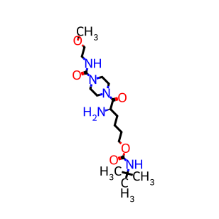 COCCNC(=O)N1CCN(C(=O)[C@H](N)CCCCOC(=O)NC(C)(C)C)CC1